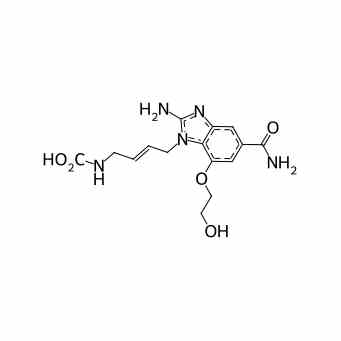 NC(=O)c1cc(OCCO)c2c(c1)nc(N)n2C/C=C/CNC(=O)O